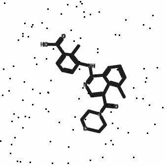 Cc1c(Nc2ncc(C(=O)N3CCOCC3)c3c(C)cccc23)cccc1C(=O)O